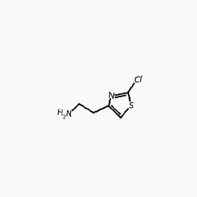 NCCc1csc(Cl)n1